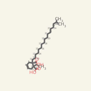 CCC1(C(=O)O)CC=CCC1(CCCCCCCCCCCCCCCC(C)C)C(=O)O